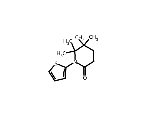 CC1(C)CCC(=O)N(c2cccs2)C1(C)C